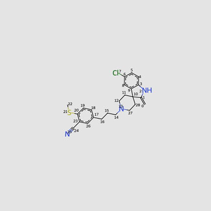 C=C1Nc2ccc(Cl)cc2C12CCN(CCCc1ccc(SC)c(C#N)c1)CC2